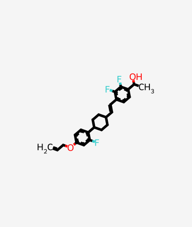 C=CCOc1ccc(C2CCC(/C=C/c3ccc(C(C)O)c(F)c3F)CC2)c(F)c1